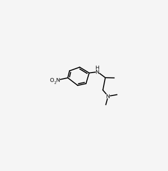 CC(CN(C)C)Nc1ccc([N+](=O)[O-])cc1